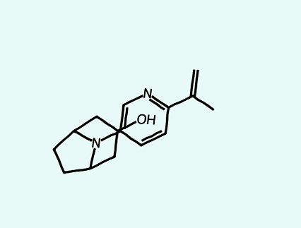 C=C(C)c1ccc(N2C3CCC2CC(O)C3)cn1